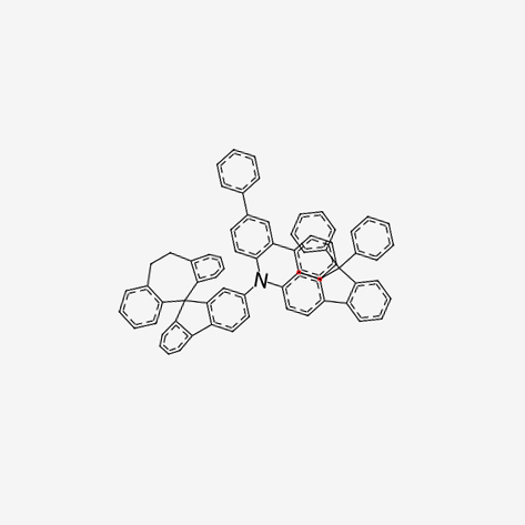 c1ccc(-c2ccc(N(c3ccc4c(c3)C(c3ccccc3)(c3ccccc3)c3ccccc3-4)c3ccc4c(c3)C3(c5ccccc5CCc5ccccc53)c3ccccc3-4)c(-c3ccccc3)c2)cc1